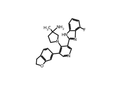 CC1(N)CCN(c2c(-c3ccc4c(c3)OCC4)cncc2-c2nc3c(F)cccc3[nH]2)C1